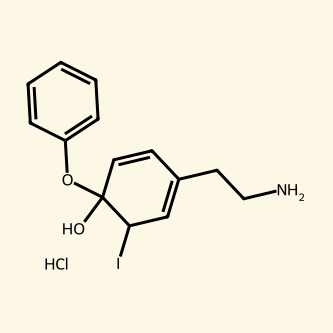 Cl.NCCC1=CC(I)C(O)(Oc2ccccc2)C=C1